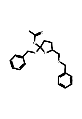 CC(=O)OC1(OCc2ccccc2)CCC(COCc2ccccc2)O1